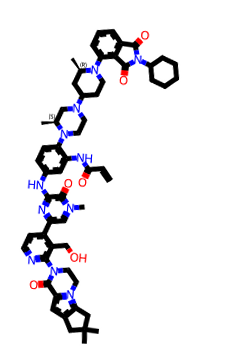 C=CC(=O)Nc1cc(Nc2nc(-c3ccnc(N4CCn5c(cc6c5CC(C)(C)C6)C4=O)c3CO)cn(C)c2=O)ccc1N1CCN(C2CCN(c3cccc4c3C(=O)N(C3CCCCC3)C4=O)[C@H](C)C2)C[C@@H]1C